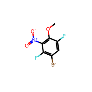 COc1c(F)cc(Br)c(F)c1[N+](=O)[O-]